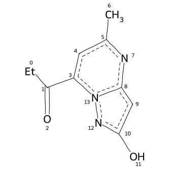 CCC(=O)c1cc(C)nc2cc(O)nn12